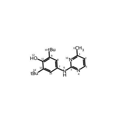 Cc1ccnc(Nc2cc(C(C)(C)C)c(O)c(C(C)(C)C)c2)n1